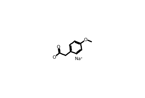 COc1ccc(CC(=O)[O-])cc1.[Na+]